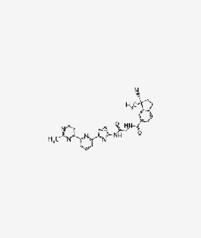 Cc1nccc(-c2cccc(-c3csc(NC(=O)CNC(=O)c4ccc5c(c4)C(C)(C#N)CC5)n3)n2)n1